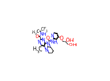 Cc1nc(C(=O)NC(C)C(F)(F)F)nc2c1N1CCCC(C1)N2C(=O)Nc1cc(OCC(O)CO)ccn1